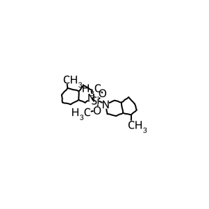 CO[Si](OC)(N1CCC2C(C)CCCC2C1)N1CCC2C(C)CCCC2C1